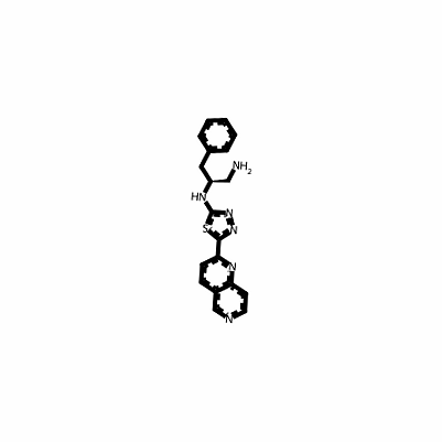 NC[C@H](Cc1ccccc1)Nc1nnc(-c2ccc3cnccc3n2)s1